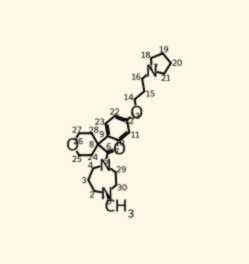 CN1CCCN(C(=O)C2(c3ccc(OCCCN4CCCC4)cc3)CCOCC2)CC1